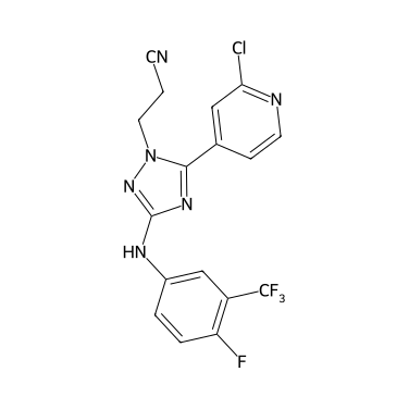 N#CCCn1nc(Nc2ccc(F)c(C(F)(F)F)c2)nc1-c1ccnc(Cl)c1